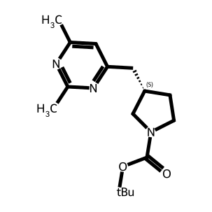 Cc1cc(C[C@@H]2CCN(C(=O)OC(C)(C)C)C2)nc(C)n1